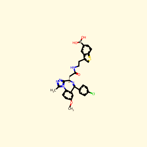 COc1ccc2c(c1)C(c1ccc(Cl)cc1)=N[C@@H](CC(=O)NCCc1csc3ccc(B(O)O)cc13)c1nnc(C)n1-2